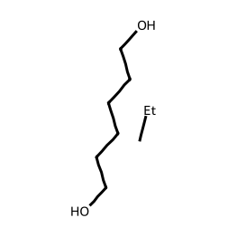 CCC.OCCCCCCO